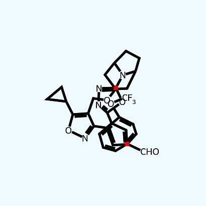 O=Cc1cccc(-c2nnc(N3C4CCC3CC(OCc3c(-c5ccccc5OC(F)(F)F)noc3C3CC3)C4)o2)c1